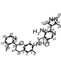 Cc1cc2c(cc1NCc1c(Cl)cnc(-c3c(C)nn(C)c3C)c1N)OC(c1ncccc1F)CC2